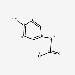 Fc1ccc(SC(=S)Cl)cc1